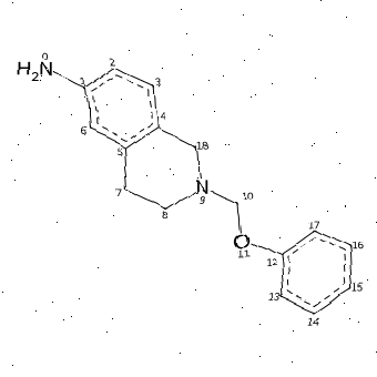 Nc1ccc2c(c1)CCN(COc1ccccc1)C2